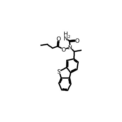 CCCC(=O)ON(C(N)=O)C(C)c1ccc2c(c1)sc1ccccc12